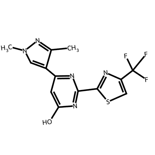 Cc1nn(C)cc1-c1cc(O)nc(-c2nc(C(F)(F)F)cs2)n1